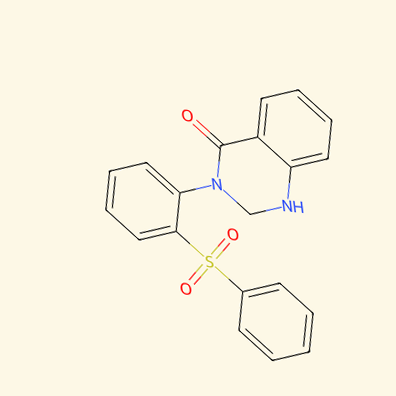 O=C1c2ccccc2NCN1c1ccccc1S(=O)(=O)c1ccccc1